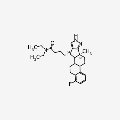 CCN(CC)C(=O)CCC[C@@H]1c2c[nH]nc2[C@@]2(C)CCC3c4cccc(F)c4CCC3C12